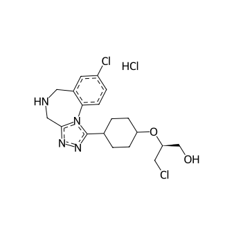 Cl.OC[C@@H](CCl)OC1CCC(c2nnc3n2-c2ccc(Cl)cc2CNC3)CC1